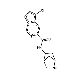 O=C(NC1CC2CC1CN2)c1cn2c(Cl)ccc2cn1